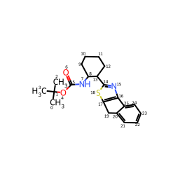 CC(C)(C)OC(=O)NC1CCCCC1c1nc2c(s1)Cc1ccccc1-2